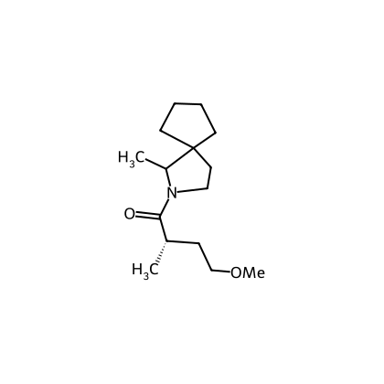 COCC[C@H](C)C(=O)N1CCC2(CCCC2)C1C